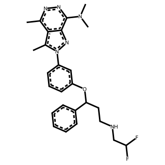 Cc1nnc(N(C)C)c2nn(-c3cccc(OC(CCNCC(F)F)c4ccccc4)c3)c(C)c12